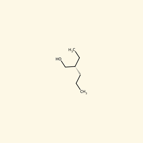 CCC[C@@H](CC)CO